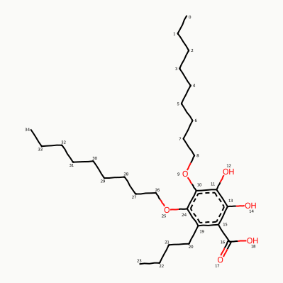 CCCCCCCCCOc1c(O)c(O)c(C(=O)O)c(CCCC)c1OCCCCCCCCC